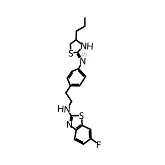 CCCC1CS/C(=N\c2ccc(CCNc3nc4ccc(F)cc4s3)cc2)N1